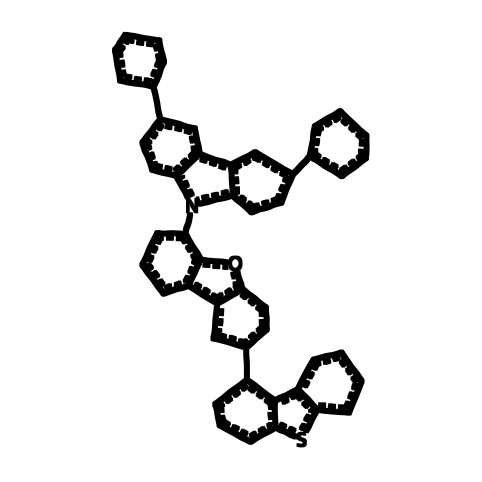 c1ccc(-c2ccc3c(c2)c2cc(-c4ccccc4)ccc2n3-c2cccc3c2oc2ccc(-c4cccc5sc6ccccc6c45)cc23)cc1